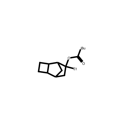 CCC(C)C(=O)OC1(CC)CC2CC1C1CCC21